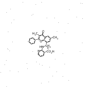 Cc1cc(C(C)Nc2ncccc2C(=O)O)c2oc(-c3ccccc3)c(C)c(=O)c2c1